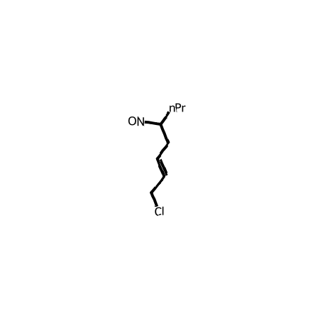 CCCC(CC=CCCl)N=O